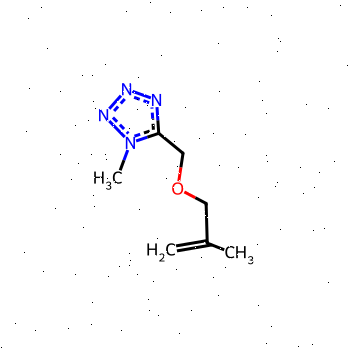 C=C(C)COCc1nnnn1C